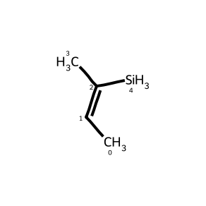 CC=C(C)[SiH3]